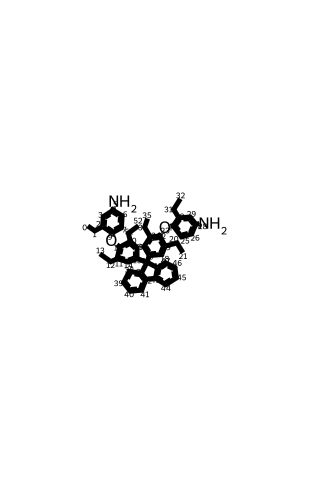 CCc1cc(N)ccc1Oc1c(CC)cc(C2(c3cc(CC)c(Oc4ccc(N)cc4CC)c(CC)c3)c3ccccc3-c3ccccc32)cc1CC